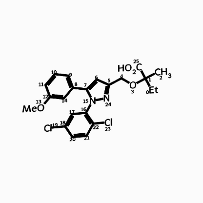 CCC(C)(OCc1cc(-c2cccc(OC)c2)n(-c2cc(Cl)ccc2Cl)n1)C(=O)O